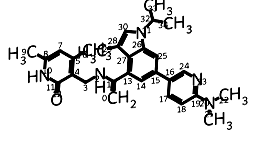 C=C(NCc1c(C)cc(C)[nH]c1=O)c1cc(-c2ccc(N(C)C)nc2)cc2c1c(C)cn2C(C)C